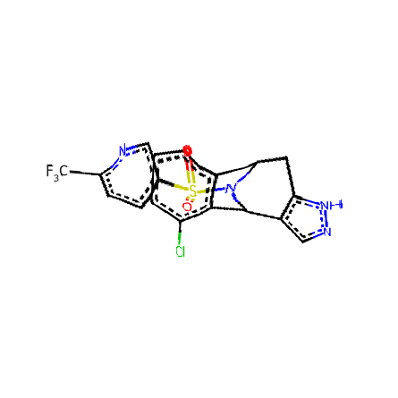 O=S(=O)(c1ccc(C(F)(F)F)nc1)N1C2Cc3[nH]ncc3C1c1c(Cl)cccc12